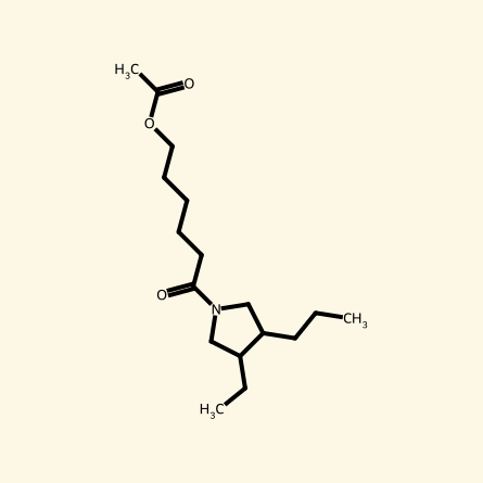 CCCC1CN(C(=O)CCCCCOC(C)=O)CC1CC